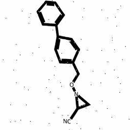 N#CC1CN1OCc1ccc(-c2ccccc2)cc1